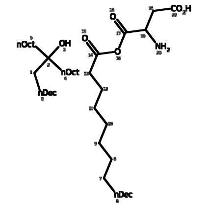 CCCCCCCCCCCC(O)(CCCCCCCC)CCCCCCCC.CCCCCCCCCCCCCCCCCC(=O)OC(=O)C(N)CC(=O)O